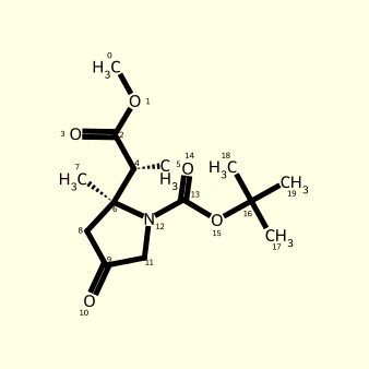 COC(=O)[C@H](C)[C@]1(C)CC(=O)CN1C(=O)OC(C)(C)C